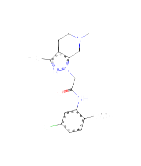 COc1ccc(Cl)cc1NC(=O)Cn1nc(C(F)(F)F)c2c1CN(C)CC2